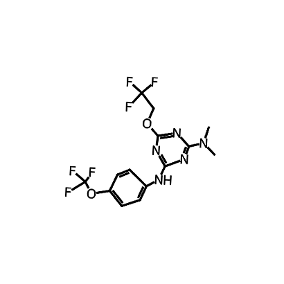 CN(C)c1nc(Nc2ccc(OC(F)(F)F)cc2)nc(OCC(F)(F)F)n1